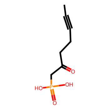 CC#CCCC(=O)CP(=O)(O)O